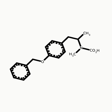 CC(Cc1ccc(OCc2ccccc2)cc1)N(C)C(=O)O